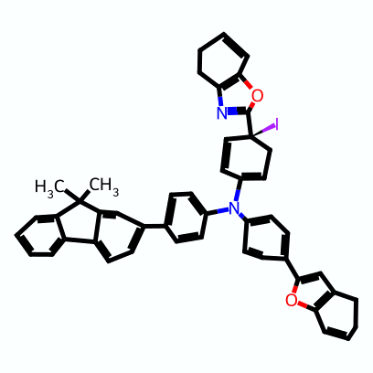 CC1(C)c2ccccc2-c2ccc(-c3ccc(N(C4=CC[C@@](I)(c5nc6c(o5)C=CCC6)C=C4)c4ccc(-c5cc6c(o5)C=CCC6)cc4)cc3)cc21